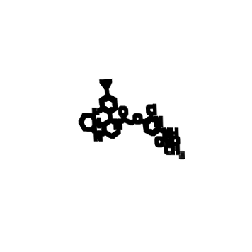 CS(=O)(=O)Nc1ccc(OCC(=O)N2CCc3nc4n(c3C2c2ccc(C3CC3)cc2F)CCCC4)c(Cl)n1